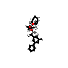 Cc1cc(-c2ccccc2)cc(C(=O)NNS(=O)(=O)C2CC3CCC(C2)N3C(=O)OC(C)(C)C)c1F